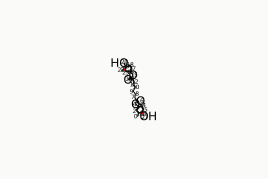 Cc1cc(OC(=O)CCCCCCC(=O)Oc2ccc(O)c(C)c2)ccc1O